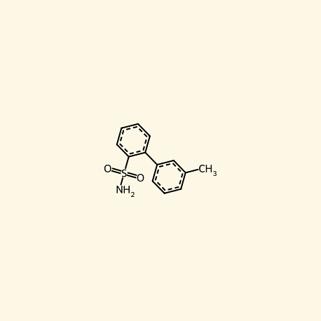 Cc1cccc(-c2ccccc2S(N)(=O)=O)c1